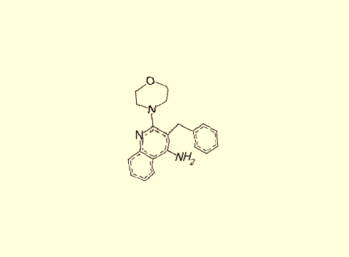 Nc1c(Cc2ccccc2)c(N2CCOCC2)nc2ccccc12